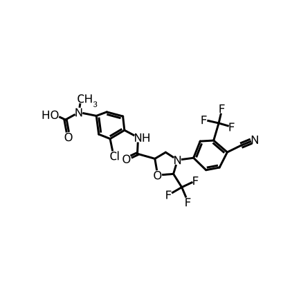 CN(C(=O)O)c1ccc(NC(=O)C2CN(c3ccc(C#N)c(C(F)(F)F)c3)C(C(F)(F)F)O2)c(Cl)c1